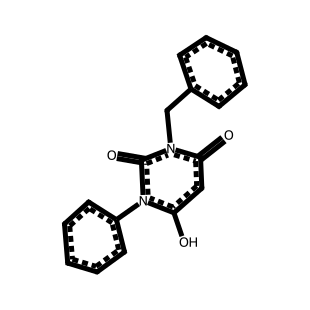 O=c1cc(O)n(-c2ccccc2)c(=O)n1Cc1ccccc1